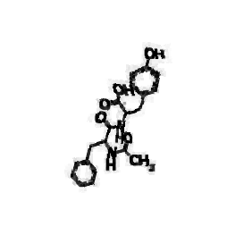 CC(=O)NC(Cc1ccccc1)C(=O)NC(Cc1ccc(O)cc1)C(=O)O